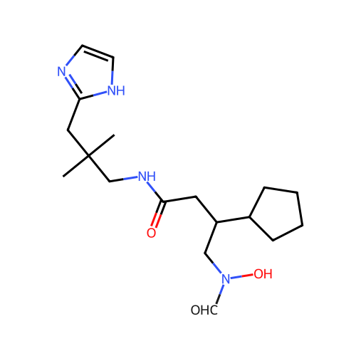 CC(C)(CNC(=O)CC(CN(O)C=O)C1CCCC1)Cc1ncc[nH]1